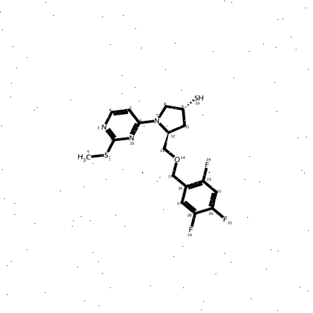 CSc1nccc(N2C[C@H](S)C[C@H]2COCc2cc(F)c(F)cc2F)n1